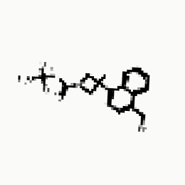 CC(C)(C)OC(=O)N1CC(F)(c2ccc(CBr)c3ccccc23)C1